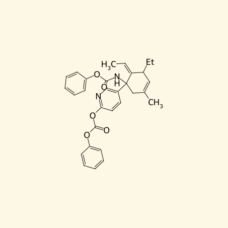 C/C=C1/C(CC)C=C(C)CC1(NC(=O)Oc1ccccc1)c1ccc(OC(=O)Oc2ccccc2)nc1